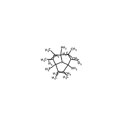 CC(C)C(P)(C(C)C)N(C(P)(C(C)C)C(C)C)C(P)(C(C)C)C(C)C